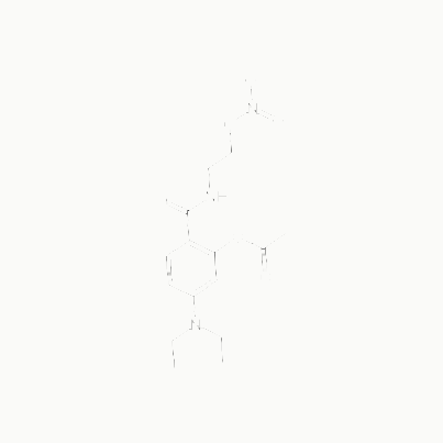 CCN(CC)c1ccc(C(=O)NCCO[N+](=O)[O-])c(OC(C)=O)c1